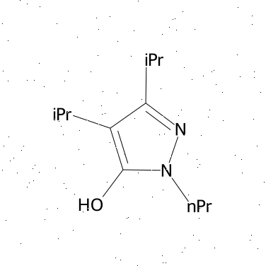 CCCn1nc(C(C)C)c(C(C)C)c1O